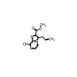 C=CCc1c(C(=O)OC)nc2c(Cl)nccn12